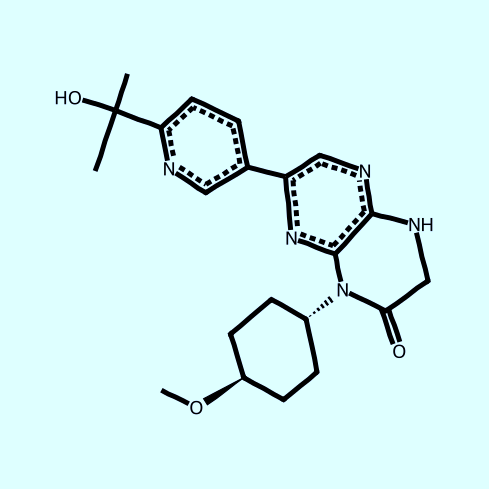 CO[C@H]1CC[C@H](N2C(=O)CNc3ncc(-c4ccc(C(C)(C)O)nc4)nc32)CC1